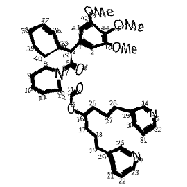 COc1cc([C@@H](C(=O)N2CCCC[C@H]2C(=O)OC(CCCc2cccnc2)CCCc2cccnc2)[C@@H]2C=CCCC2)cc(OC)c1OC